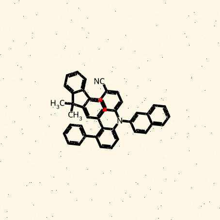 CC1(C)c2ccccc2-c2ccc(-c3c(-c4ccccc4)cccc3N(c3ccc(C#N)cc3)c3ccc4ccccc4c3)cc21